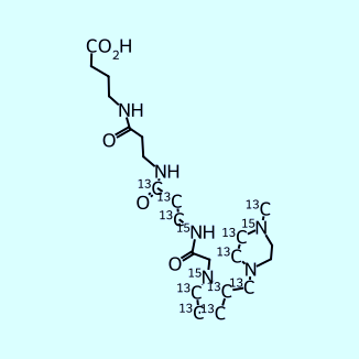 [13CH3][15N]1CCN([13CH2][13CH]2[13CH2][13CH2][13CH2][15N]2CC(=O)[15NH][13CH2][13CH2][13C](=O)NCCC(=O)NCCCC(=O)O)[13CH2][13CH2]1